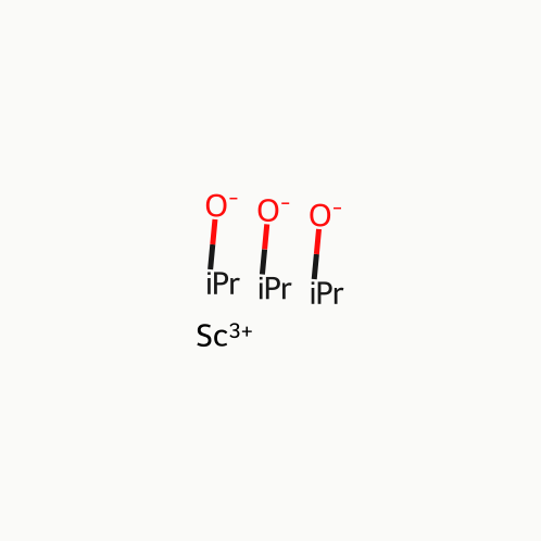 CC(C)[O-].CC(C)[O-].CC(C)[O-].[Sc+3]